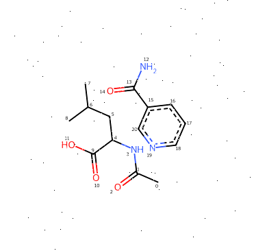 CC(=O)NC(CC(C)C)C(=O)O.NC(=O)c1cccnc1